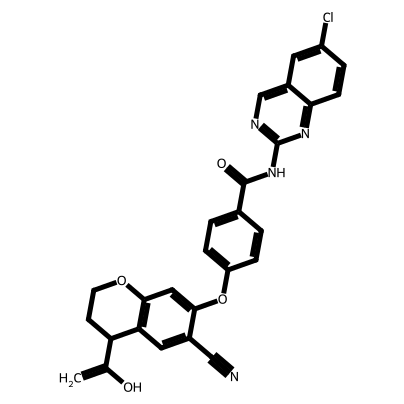 C=C(O)C1CCOc2cc(Oc3ccc(C(=O)Nc4ncc5cc(Cl)ccc5n4)cc3)c(C#N)cc21